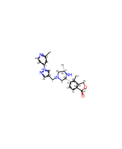 Cc1cc(-n2cc(CN3C[C@@H](c4ccc5c(c4C)COC5=O)N[C@@H](C)C3)cn2)ccn1